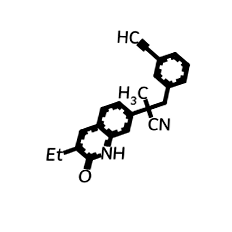 C#Cc1cccc(CC(C)(C#N)c2ccc3cc(CC)c(=O)[nH]c3c2)c1